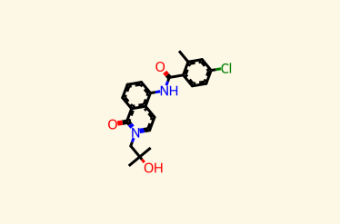 Cc1cc(Cl)ccc1C(=O)Nc1cccc2c(=O)n(CC(C)(C)O)ccc12